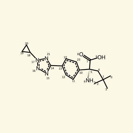 CC(C)(C)C[C@](N)(C(=O)O)c1ccc(-c2nnn(C3CC3)n2)cc1